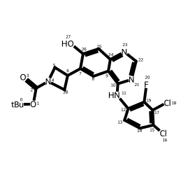 CC(C)(C)OC(=O)N1CC(c2cc3c(Nc4ccc(Cl)c(Cl)c4F)ncnc3cc2O)C1